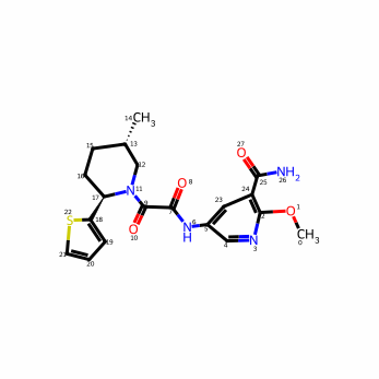 COc1ncc(NC(=O)C(=O)N2C[C@@H](C)CC[C@@H]2c2cccs2)cc1C(N)=O